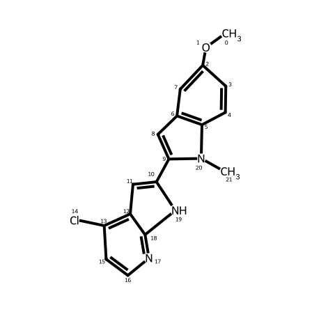 COc1ccc2c(c1)cc(-c1cc3c(Cl)ccnc3[nH]1)n2C